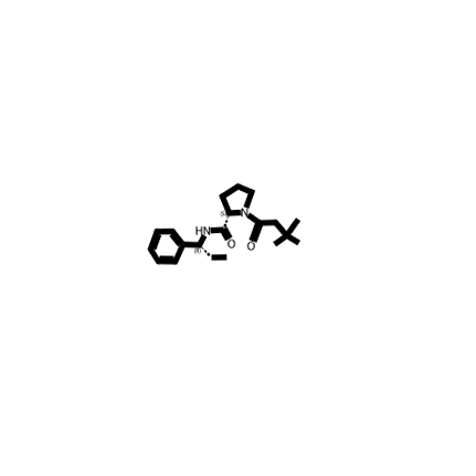 CC[C@@H](NC(=O)[C@@H]1CCCN1C(=O)CC(C)(C)C)c1ccccc1